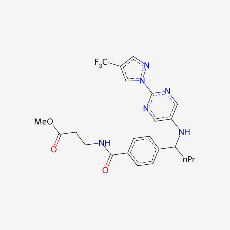 CCCC(Nc1cnc(-n2cc(C(F)(F)F)cn2)nc1)c1ccc(C(=O)NCCC(=O)OC)cc1